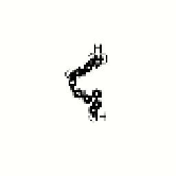 O=C1CCN(c2ccc(N3CCC(C(=O)N4CCC(CN5CCN(c6ccc([C@@H]7c8ccc(O)cc8CC[C@@H]7c7ccccc7)cc6)CC5)CC4)CC3)cc2)C(=O)N1